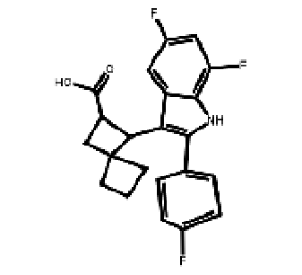 O=C(O)C1CC2(CCC2)C1c1c(-c2ccc(F)cc2)[nH]c2c(F)cc(F)cc12